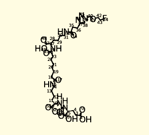 O=C(O)CC[C@H](NC(=O)N[C@@H](CCCCNC(=O)CCCCCCC(=O)NC(CCCCNC(=O)CCc1cn(COCCF)nn1)C(=O)O)C(=O)O)C(=O)O